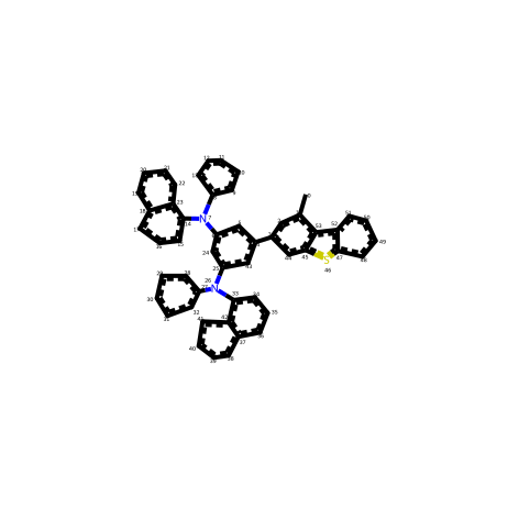 Cc1cc(-c2cc(N(c3ccccc3)c3cccc4ccccc34)cc(N(c3ccccc3)c3cccc4ccccc34)c2)cc2sc3ccccc3c12